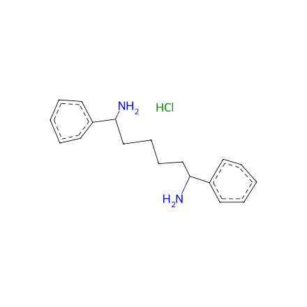 Cl.NC(CCCCC(N)c1ccccc1)c1ccccc1